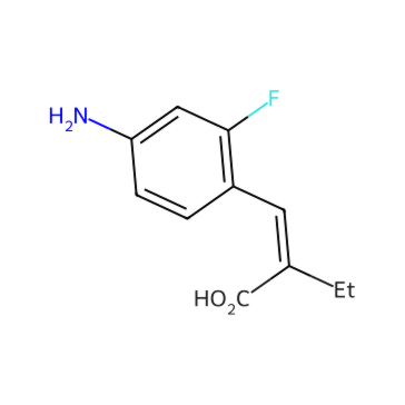 CCC(=Cc1ccc(N)cc1F)C(=O)O